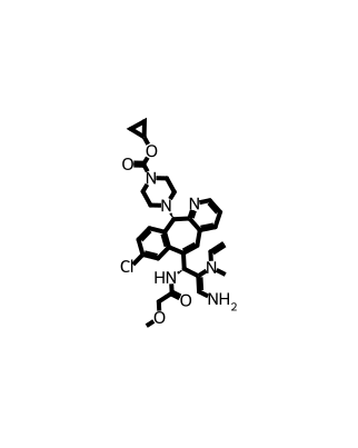 C=CN(C)/C(=C\N)[C@H](NC(=O)COC)C1=Cc2cccnc2[C@@H](N2CCN(C(=O)OC3CC3)CC2)c2ccc(Cl)cc21